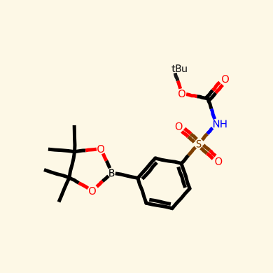 CC(C)(C)OC(=O)NS(=O)(=O)c1cccc(B2OC(C)(C)C(C)(C)O2)c1